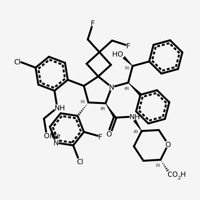 COCNc1cc(Cl)ccc1C1[C@@H](c2ccnc(Cl)c2F)[C@H](C(=O)N[C@@H]2CC[C@@H](C(=O)O)OC2)N([C@H](c2ccccc2)[C@@H](O)c2ccccc2)C12CC(CF)(CF)C2